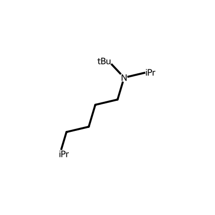 CC(C)CCCCN(C(C)C)C(C)(C)C